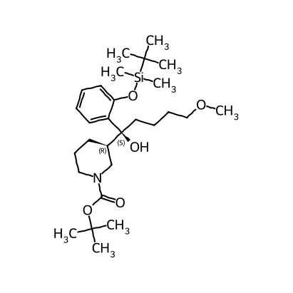 COCCCC[C@@](O)(c1ccccc1O[Si](C)(C)C(C)(C)C)[C@@H]1CCCN(C(=O)OC(C)(C)C)C1